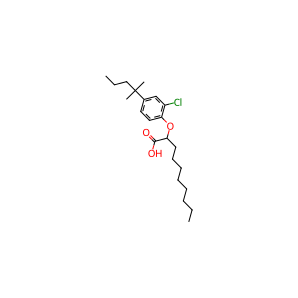 CCCCCCCCC(Oc1ccc(C(C)(C)CCC)cc1Cl)C(=O)O